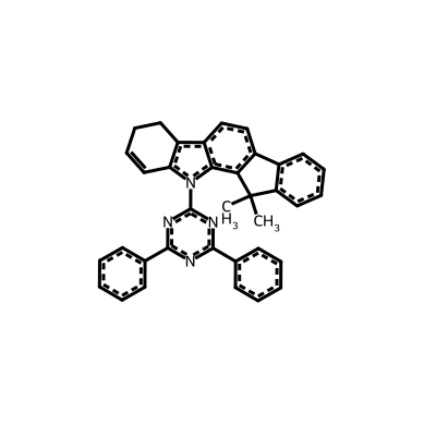 CC1(C)c2ccccc2-c2ccc3c4c(n(-c5nc(-c6ccccc6)nc(-c6ccccc6)n5)c3c21)C=CCC4